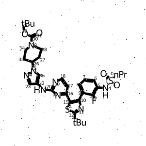 CCCS(=O)(=O)Nc1cccc(-c2nc(C(C)(C)C)sc2-c2ccnc(Nc3cnn(C4CCN(C(=O)OC(C)(C)C)CC4)c3)n2)c1F